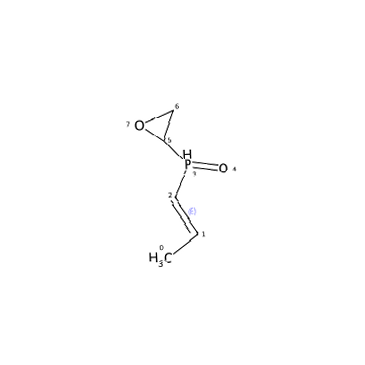 C/C=C/[PH](=O)C1CO1